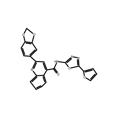 O=C(Nc1nnc(-c2ccco2)o1)c1cc(-c2ccc3c(c2)OCO3)nc2ccccc12